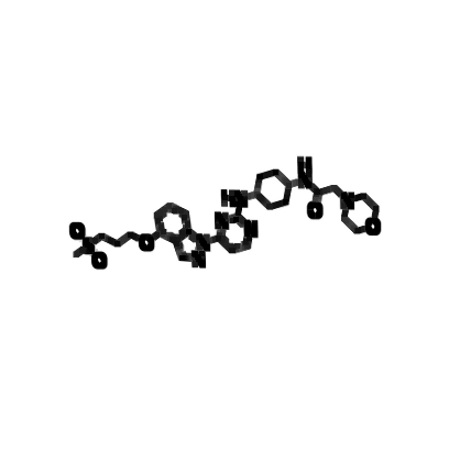 CS(=O)(=O)CCCOc1cccc2c1cnn2-c1ccnc(NC2CCC(NC(=O)CN3CCOCC3)CC2)n1